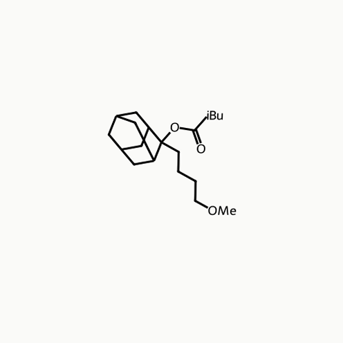 CCC(C)C(=O)OC1(CCCCOC)C2CC3CC(C2)CC1C3